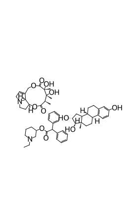 CCN1CCCC(OC(=O)C(c2ccccc2)c2ccccc2)C1.C[C@H]1C(=O)O[C@@H]2CCN3CC=C(COC(=O)[C@](C)(O)[C@]1(C)O)[C@H]23.C[C@]12CC[C@@H]3c4ccc(O)cc4CC[C@H]3[C@@H]1C[C@@H](O)[C@@H]2O